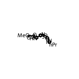 CCCc1cnc(N2CCC(Oc3nc4ccc(C5=CC(S(=O)(=O)CCCC(=O)OC)NCC5)cc4s3)CC2)nc1